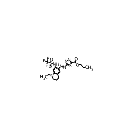 CCCOC(=O)c1nnc(N=Nc2cc3c(cc2NS(=O)(=O)C(F)(F)F)N(CC)CCC3)s1